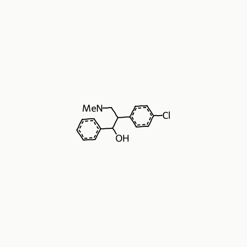 CNCC(c1ccc(Cl)cc1)C(O)c1ccccc1